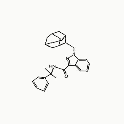 CC(C)(NC(=O)c1nn(CC2C3CC4CC(C3)CC2C4)c2ccccc12)c1ccccc1